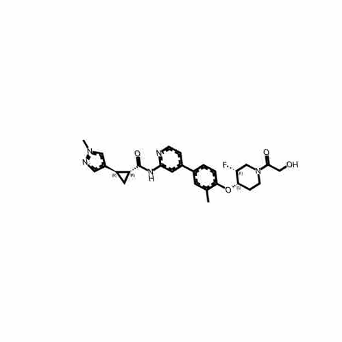 Cc1cc(-c2ccnc(NC(=O)[C@@H]3C[C@H]3c3cnn(C)c3)c2)ccc1O[C@H]1CCN(C(=O)CO)C[C@H]1F